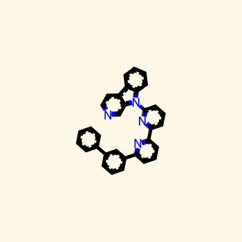 c1ccc(-c2cccc(-c3cccc(-c4cccc(-n5c6ccccc6c6ccncc65)n4)n3)c2)cc1